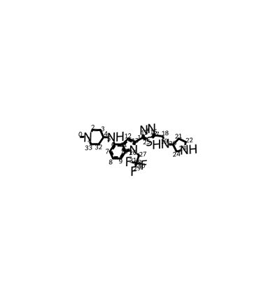 CN1CCC(Nc2cccc3c2cc(-c2nnc(CNC4CCNC4)s2)n3CC(F)(F)F)CC1